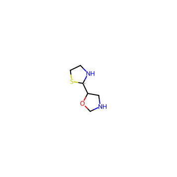 C1CS[C](C2CNCO2)N1